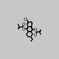 C=C(C)C(=O)Oc1c2c(c(OC(=O)C(=C)C)c3ccc(Cl)cc13)CC(CC)CC2